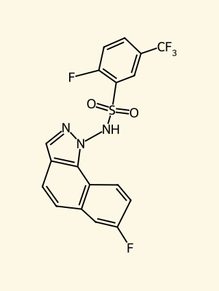 O=S(=O)(Nn1ncc2ccc3cc(F)ccc3c21)c1cc(C(F)(F)F)ccc1F